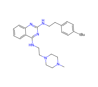 CN1CCN(CCNc2nc(NCCc3ccc(C(C)(C)C)cc3)nc3ccccc23)CC1